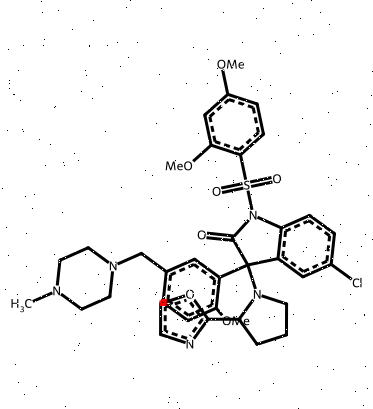 COc1ccc(S(=O)(=O)N2C(=O)C(c3cc(CN4CCN(C)CC4)ccc3OC)(N3CCCC3c3ncco3)c3cc(Cl)ccc32)c(OC)c1